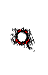 CCOC(=O)CC/C=C/C[C@@H](C)[C@@H](OC(C)=O)[C@H]1C(=O)N[C@@H](CC)C(=O)N(C)CC(=O)N(C)[C@@H](CC(C)C)C(=O)N[C@H](C(C)C)C(=O)N(C)[C@H](CC(C)C)C(=O)N[C@H](C)C(=O)N[C@@H](C)C(=O)N(C)[C@@H](CC(C)C)C(=O)N(C)[C@@H](CC(C)C)C(=O)N(C)[C@@H](C(C)C)C(=O)N1C